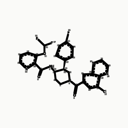 O=C(N[C@@H]1CCN(C(=O)c2cc(Cl)c3nccnc3c2)C[C@@H]1c1ccc(F)cc1)c1ncccc1OC(F)F